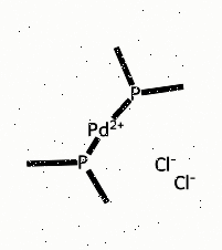 C[P](C)[Pd+2][P](C)C.[Cl-].[Cl-]